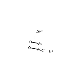 CC(=O)[O-].CC(=O)[O-].[Cl-].[Cl-].[Sr+2].[Zn+2]